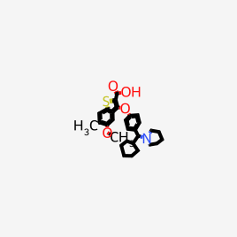 COc1cc2c(Oc3ccc(C(C4CCCCC4)N4CCCCC4)cc3)c(C(=O)O)sc2cc1C